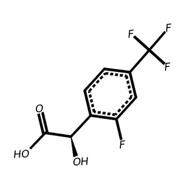 O=C(O)[C@H](O)c1ccc(C(F)(F)F)cc1F